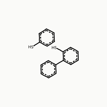 Sc1ccccc1.Sc1ccccc1-c1ccccc1